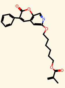 C=C(C)C(=O)OCCCCCCOc1cc2cc(-c3ccccc3)c(=O)oc2cn1